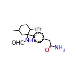 CC1CCC(C(C)C)C(NC=O)(c2ccc(CC(N)=O)cc2)C1